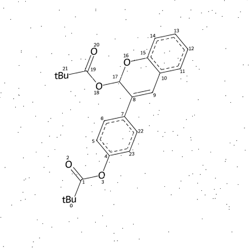 CC(C)(C)C(=O)Oc1ccc(C2=Cc3ccccc3OC2OC(=O)C(C)(C)C)cc1